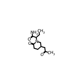 CCC(C(N)=O)N1CC(CC(C)=O)CCC1=O